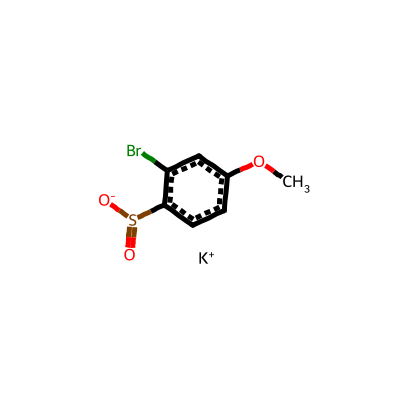 COc1ccc(S(=O)[O-])c(Br)c1.[K+]